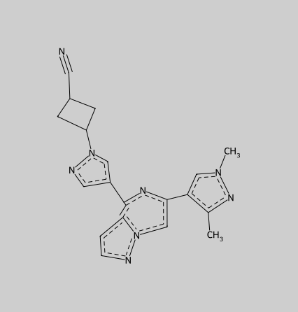 Cc1nn(C)cc1-c1cn2nccc2c(-c2cnn(C3CC(C#N)C3)c2)n1